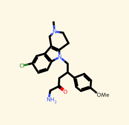 COc1ccc(C(CC(=O)CN)Cn2c3c(c4cc(Cl)ccc42)CN(C)CC3)cc1